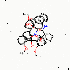 COc1ccccc1C(O)(c1ccccc1OC)[C@@H](Cc1ccccc1)N(C(=O)C1(C(N)=O)CCCC1)[C@H](Cc1ccccc1)C(O)(c1ccccc1OC)c1ccccc1OC